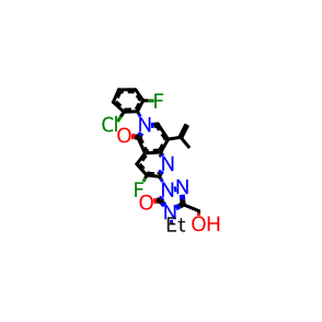 C=C(C)c1cn(-c2c(F)cccc2Cl)c(=O)c2cc(F)c(-n3nc(CO)n(CC)c3=O)nc12